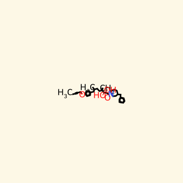 C=C(CCC(C)Cc1ccc(OCC#CCC)cc1)[C@H](O)[C@@H](O)C(=O)N1CCCC(Cc2ccccc2)CC1